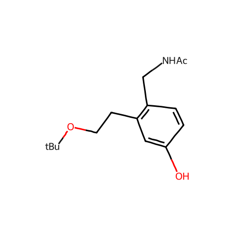 CC(=O)NCc1ccc(O)cc1CCOC(C)(C)C